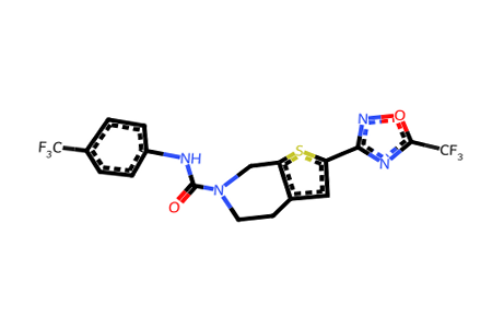 O=C(Nc1ccc(C(F)(F)F)cc1)N1CCc2cc(-c3noc(C(F)(F)F)n3)sc2C1